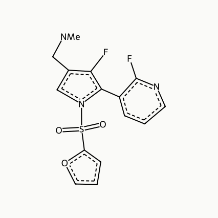 CNCc1cn(S(=O)(=O)c2ccco2)c(-c2cccnc2F)c1F